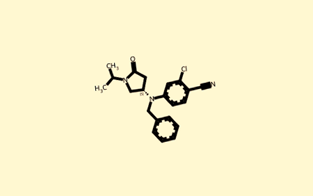 CC(C)N1C[C@@H](N(Cc2ccccc2)c2ccc(C#N)c(Cl)c2)CC1=O